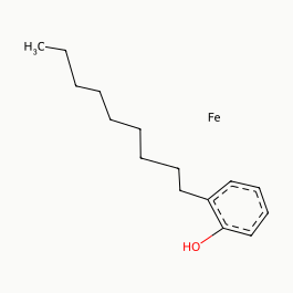 CCCCCCCCCc1ccccc1O.[Fe]